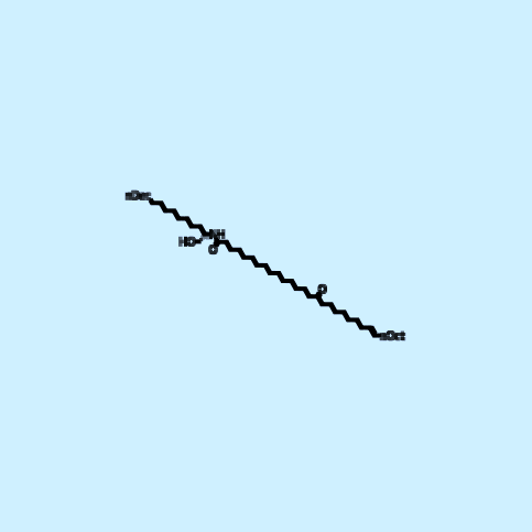 CCCCCCCCC=CCCCCCCCC(=O)CCCCCCCCCCCCCCC(=O)N[C@H](CO)CCCCCCCCCCCCCCCCCC